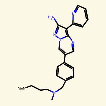 CNCCCN(C)Cc1ccc(-c2cnc3c(-c4ccccn4)c(N)nn3c2)cc1